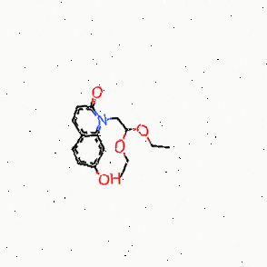 CCOC(Cn1c(=O)ccc2ccc(O)cc21)OCC